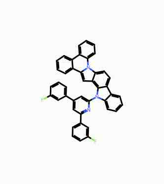 Fc1cccc(-c2cc(-c3cccc(F)c3)nc(-n3c4ccccc4c4ccc5c(cc6c7ccccc7c7ccccc7n65)c43)c2)c1